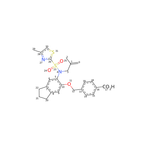 C=C(C)CN(c1cc2c(cc1OCc1ccc(C(=O)O)cc1)CCC2)S(=O)(=O)c1nc(C)cs1